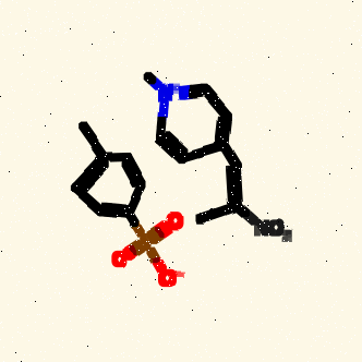 C/C(=C\c1cc[n+](C)cc1)[N+](=O)[O-].Cc1ccc(S(=O)(=O)[O-])cc1